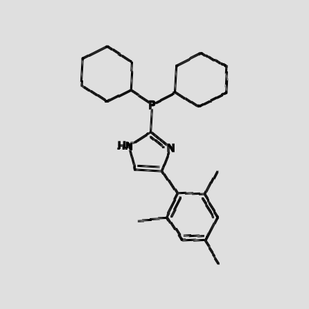 Cc1cc(C)c(-c2c[nH]c(P(C3CCCCC3)C3CCCCC3)n2)c(C)c1